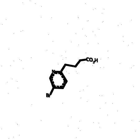 O=C(O)CCCc1ccc(Br)cn1